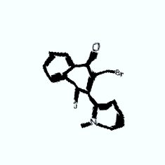 Cn1cccc1C1=C(Br)C(=O)c2ccccc2C1=O